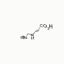 CCCCCNC=CC(=O)O